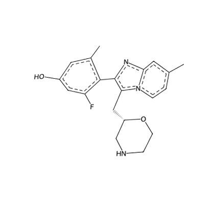 Cc1ccn2c(C[C@H]3CNCCO3)c(-c3c(C)cc(O)cc3F)nc2c1